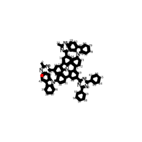 Cc1nc(C)nc(-c2ccc3c(c2)c2cc(-c4nc(C)nc(C)n4)ccc2n3-c2c(-c3ccc(-n4c5ccccc5c5ccccc54)cc3)cc(-c3nc(-c4ccccc4)nc(-c4ccccc4)n3)cc2-c2ccc(-n3c4ccccc4c4ccccc43)cc2)n1